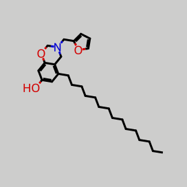 CCCCCCCCCCCCCCCc1cc(O)cc2c1CN(Cc1ccco1)CO2